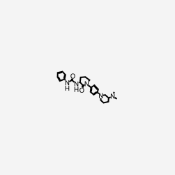 CN(C)C1CCCN(c2ccc(N3CCC[C@@H](NC(=O)Nc4ccccc4)C3=O)cc2)C1